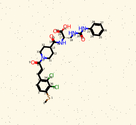 CSc1ccc(/C=C/C(=O)N2CCC(C(=O)N[C@@H](CNC(=O)Nc3ccccc3)C(=O)O)CC2)c(Cl)c1Cl